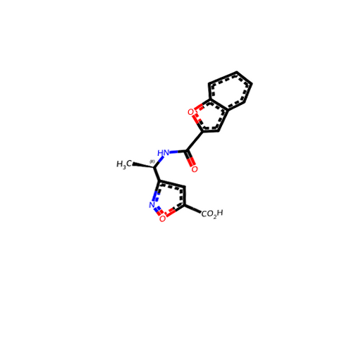 C[C@@H](NC(=O)c1cc2ccccc2o1)c1cc(C(=O)O)on1